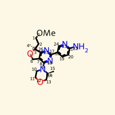 COCC[C@]1(C)OCc2c(N3CCOC[C@@H]3C)nc(-c3ccc(N)nc3)nc21